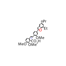 CCCc1cc(CC)c2oc(-c3ccc(/C=C/c4ccc(OC)c(OC)c4C(=O)O)c(OC)c3)cc2c1